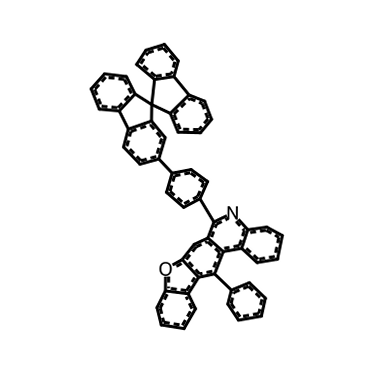 c1ccc(-c2c3c(cc4c(-c5ccc(-c6ccc7c(c6)C6(c8ccccc8-c8ccccc86)c6ccccc6-7)cc5)nc5ccccc5c24)oc2ccccc23)cc1